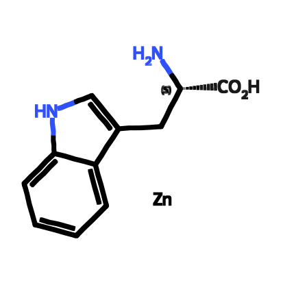 N[C@@H](Cc1c[nH]c2ccccc12)C(=O)O.[Zn]